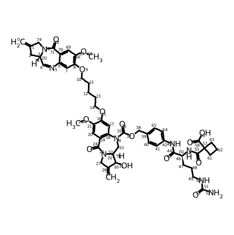 C=C1C[C@H]2C=Nc3cc(OCCCCCOc4cc5c(cc4OC)C(=O)N4CC(=C)C(O)[C@@H]4CN5C(=O)OCc4ccc(NC(=O)[C@H](CCCNC(N)=O)NC(=O)C5(C(=O)O)CCC5)cc4)c(OC)cc3C(=O)N2C1